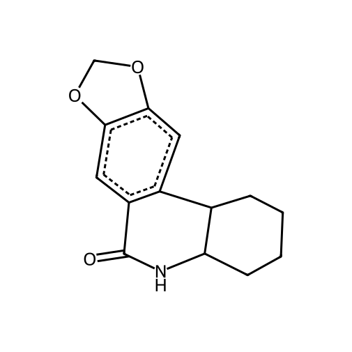 O=C1NC2CCCCC2c2cc3c(cc21)OCO3